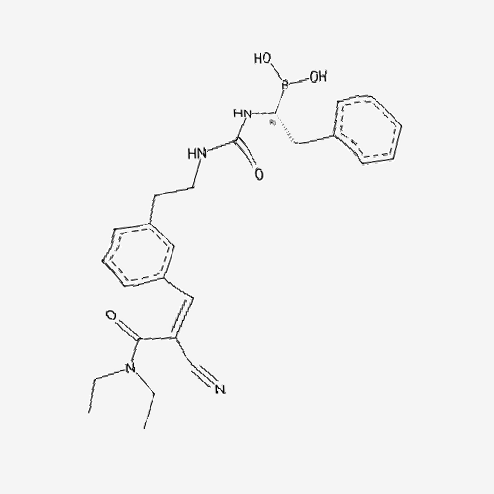 CCN(CC)C(=O)C(C#N)=Cc1cccc(CCNC(=O)N[C@@H](Cc2ccccc2)B(O)O)c1